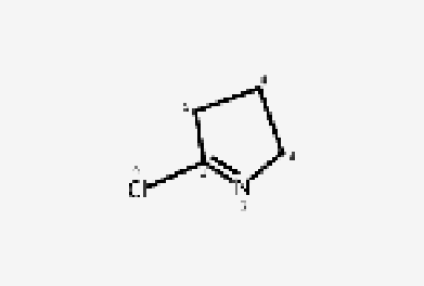 ClC1=NCCC1